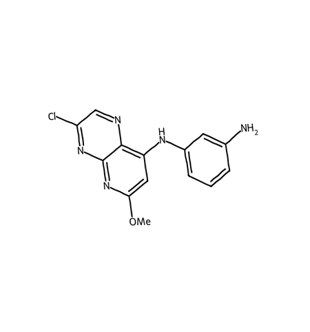 COc1cc(Nc2cccc(N)c2)c2ncc(Cl)nc2n1